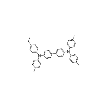 CCc1ccc(N(c2ccc(C)cc2)c2ccc(-c3ccc(N(c4ccc(C)cc4)c4ccc(C)cc4)cc3)cc2)cc1